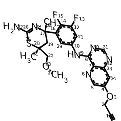 C#CCOc1cnc2c(Nc3cc(F)c(F)c([C@]4(C)C[C@](C)(COC)SC(N)=N4)c3)ncnc2c1